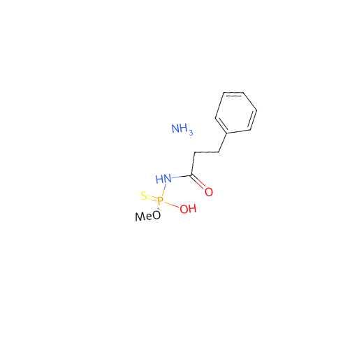 CO[P@](O)(=S)NC(=O)CCc1ccccc1.N